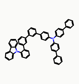 c1ccc(-c2ccc(N(c3ccc(-c4ccccc4)cc3)c3ccc(-c4cccc(-c5cccc(-c6ccccc6-n6c7ccccc7c7ccccc76)c5)c4)cc3)cc2)cc1